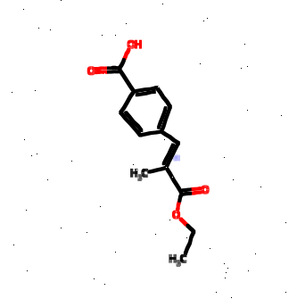 CCOC(=O)/C(C)=C/c1ccc(C(=O)O)cc1